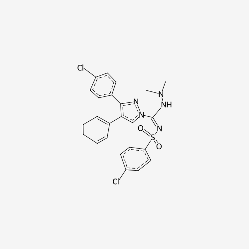 CN(C)NC(=NS(=O)(=O)c1ccc(Cl)cc1)n1cc(C2=CCCC=C2)c(-c2ccc(Cl)cc2)n1